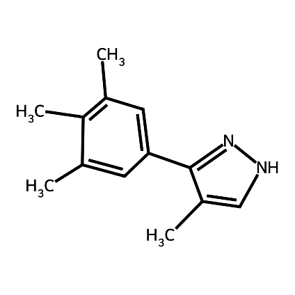 Cc1c[nH]nc1-c1cc(C)c(C)c(C)c1